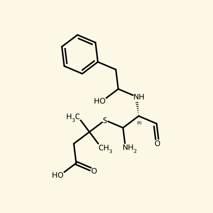 CC(C)(CC(=O)O)SC(N)[C@@H](C=O)NC(O)Cc1ccccc1